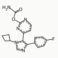 NC(=O)Oc1nccc(-c2c(-c3ccc(F)cc3)ncn2C2CCC2)n1